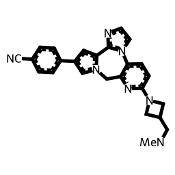 CNCC1CN(c2ccc3c(n2)Cn2cc(-c4ccc(C#N)cc4)cc2-c2nccn2-3)C1